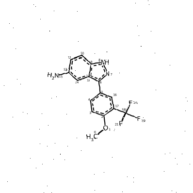 COc1ccc(-c2n[nH]c3ccc(N)cc23)cc1C(F)(F)F